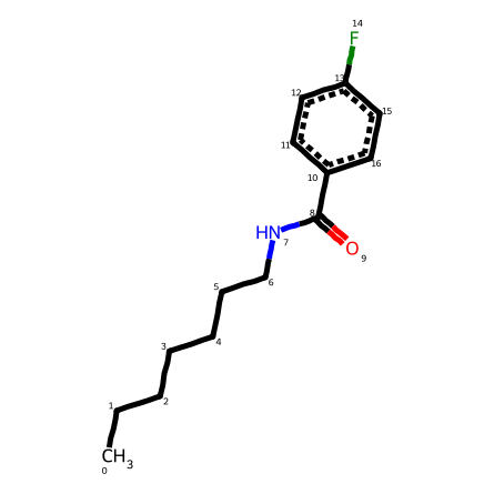 CCCCCCCNC(=O)c1ccc(F)cc1